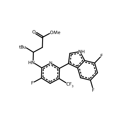 COC(=O)CC(Nc1nc(-c2c[nH]c3c(F)cc(F)cc23)c(C(F)(F)F)cc1F)C(C)(C)C